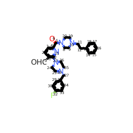 O=Cc1ccc(C(=O)N2CCN(CCc3ccccc3)CC2)nc1N1CCN(Cc2ccc(F)cc2)CC1